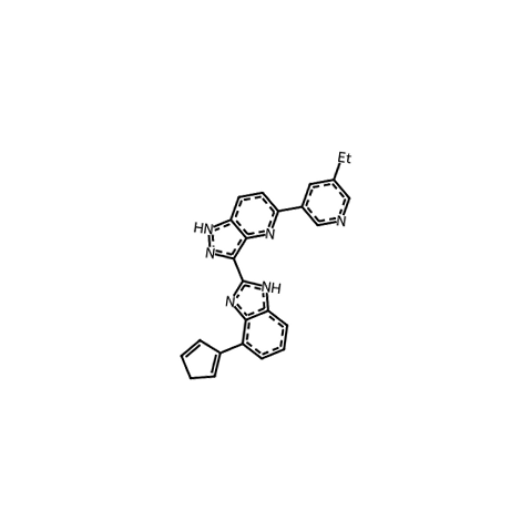 CCc1cncc(-c2ccc3[nH]nc(-c4nc5c(C6=CCC=C6)cccc5[nH]4)c3n2)c1